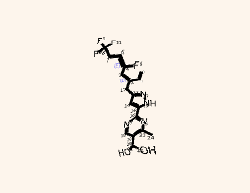 C=C/C(=C\C(F)=C/CC(F)(F)F)Cc1cc(-c2ncc(C(O)O)c(C)n2)[nH]n1